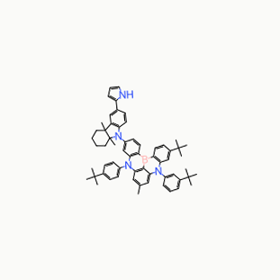 Cc1cc2c3c(c1)N(c1cccc(C(C)(C)C)c1)c1cc(C(C)(C)C)ccc1B3c1ccc(N3c4ccc(-c5ccc[nH]5)cc4C4(C)CCCCC34C)cc1N2c1ccc(C(C)(C)C)cc1